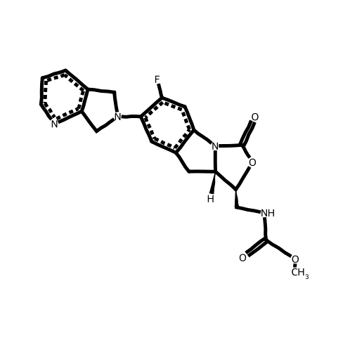 COC(=O)NC[C@@H]1OC(=O)N2c3cc(F)c(N4Cc5cccnc5C4)cc3C[C@@H]12